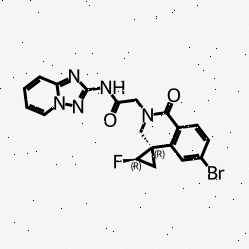 O=C(CN1C[C@@]2(C[C@H]2F)c2cc(Br)ccc2C1=O)Nc1nc2ccccn2n1